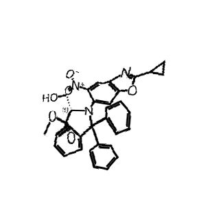 COC(=O)[C@H](CO)N(c1cc2oc(C3CC3)nc2cc1[N+](=O)[O-])C(c1ccccc1)(c1ccccc1)c1ccccc1